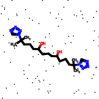 CC(C)(CCCC(O)CCCC(O)CCCC(C)(C)n1cnnn1)n1cnnn1